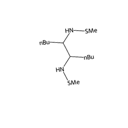 CCCCC(NSC)C(CCCC)NSC